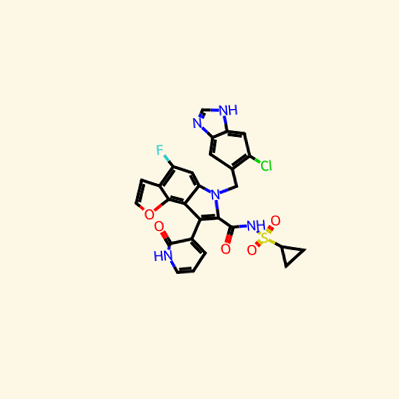 O=C(NS(=O)(=O)C1CC1)c1c(-c2ccc[nH]c2=O)c2c3occc3c(F)cc2n1Cc1cc2nc[nH]c2cc1Cl